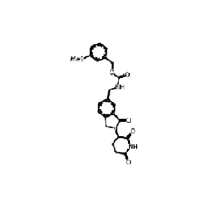 CSc1cccc(COC(=O)NCc2ccc3c(c2)C(=O)N(C2CCC(=O)NC2=O)C3)c1